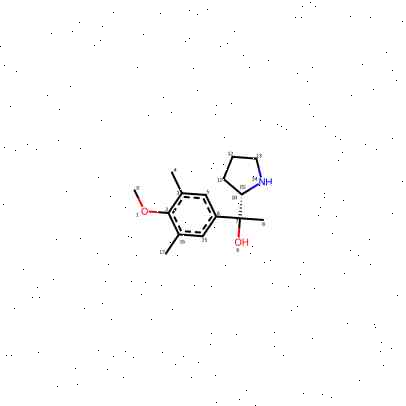 COc1c(C)cc(C(C)(O)[C@@H]2CCCN2)cc1C